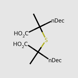 CCCCCCCCCCC(C)(SC(C)(CCCCCCCCCC)C(=O)O)C(=O)O